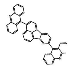 c1ccc2c(-c3ccc4c(c3)-c3cccc5c(-c6c7ccccc7nc7ccccc67)ccc-4c35)c3ccccc3nc2c1